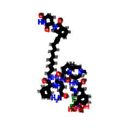 CN1CC[C@H]2CC[C@@H](C(=O)NC(CCC(N)=O)CNC(C(=O)NCCCCCCCCCC#Cc3cccc4c3CN(C3CCC(=O)NC3=O)C4=O)c3ccccc3)N2C(=O)[C@@H](NC(=O)C(Cc2cccc(C(F)(F)P(=O)(O)O)c2)N(C)C)C1